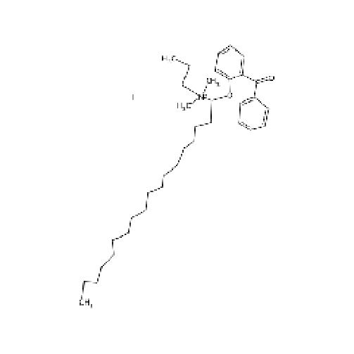 CCCCCCCCCCCCCCCCCC(Oc1ccccc1C(=O)c1ccccc1)[N+](C)(C)CCC.[I-]